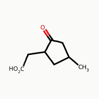 CC1CC(=O)C(CC(=O)O)C1